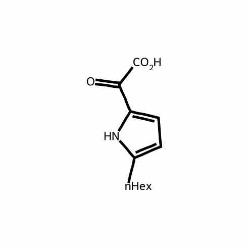 CCCCCCc1ccc(C(=O)C(=O)O)[nH]1